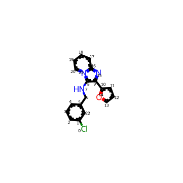 Clc1cccc(CNc2c(-c3ccco3)nc3ccccn23)c1